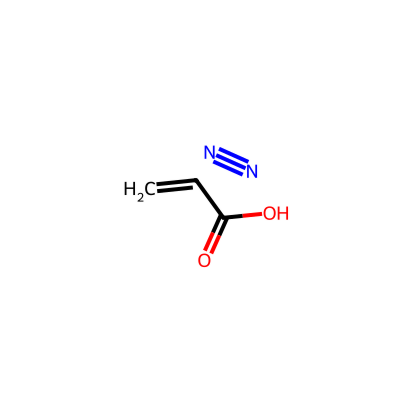 C=CC(=O)O.N#N